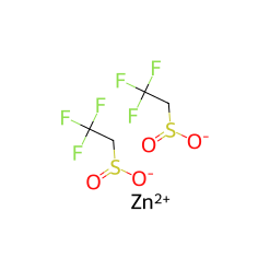 O=S([O-])CC(F)(F)F.O=S([O-])CC(F)(F)F.[Zn+2]